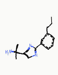 CCCc1cccc(C2=NCC(C(C)(C)N)=N2)c1